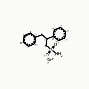 NS(=O)(=O)CC(Cc1ccccc1)c1ccccc1.[Ru+2]